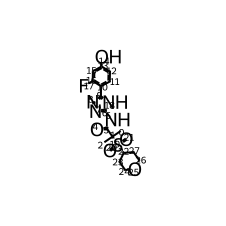 CC(C)(C(=O)Nc1nnc(-c2ccc(O)cc2F)[nH]1)S(=O)(=O)C1CCOCC1